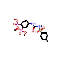 COP(=O)(OC)c1ccc(NC(=O)NS(=O)(=O)c2ccc(C)cc2)cc1P(=O)(OC)OC